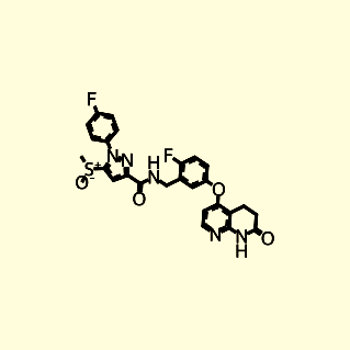 C[S+]([O-])c1cc(C(=O)NCc2cc(Oc3ccnc4c3CCC(=O)N4)ccc2F)nn1-c1ccc(F)cc1